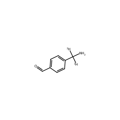 [2H]C([2H])(N)c1ccc(C=O)cc1